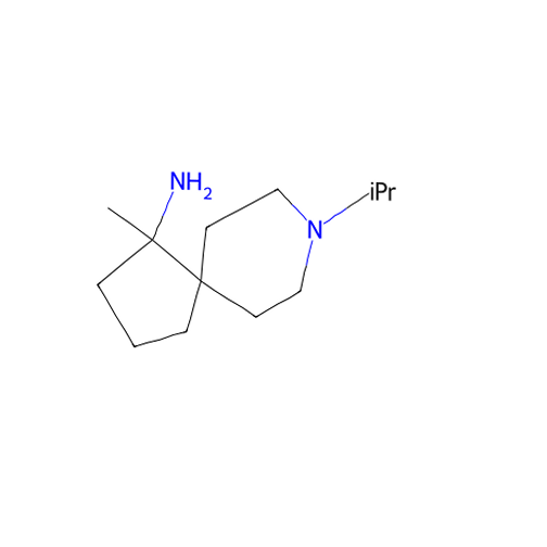 CC(C)N1CCC2(CCCC2(C)N)CC1